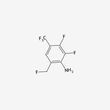 Nc1c(CF)cc(C(F)(F)F)c(F)c1F